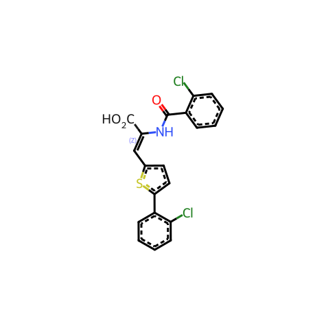 O=C(O)/C(=C/c1ccc(-c2ccccc2Cl)s1)NC(=O)c1ccccc1Cl